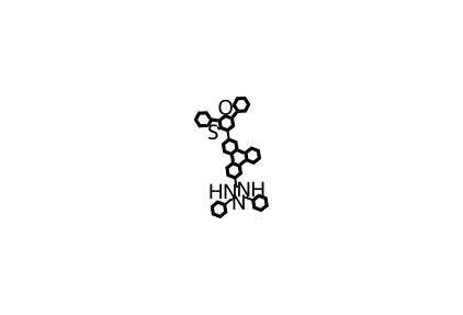 c1ccc(C2=NC(c3ccccc3)NC(c3ccc4c5ccc(-c6cc7c8ccccc8oc7c7c6sc6ccccc67)cc5c5ccccc5c4c3)N2)cc1